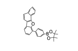 CC1(C)OB(c2ccc(-c3cccc4c3oc3c5ccccc5ccc43)cc2)OC1(C)C